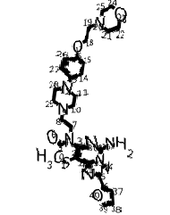 CSc1c(N(C=O)CCN2CCN(c3ccc(OCCN4CCOCC4)cc3)CC2)nc(N)n2nc(-c3ccco3)nc12